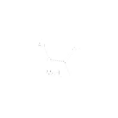 CC(=O)[O][Au].[MgH2]